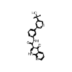 CC(C)(O)c1cncc(-c2cccc(NC(=O)c3c[nH]c4ncccc4c3=O)c2)c1